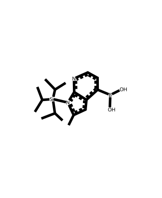 Cc1cc2c(B(O)O)ccnc2n1[Si](C(C)C)(C(C)C)C(C)C